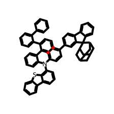 c1ccc(-c2ccccc2-c2ccccc2-c2ccccc2N(c2ccc(-c3ccc4c(c3)C3(c5ccccc5-4)C4CC5CC(C4)CC3C5)cc2)c2cccc3c2sc2ccccc23)cc1